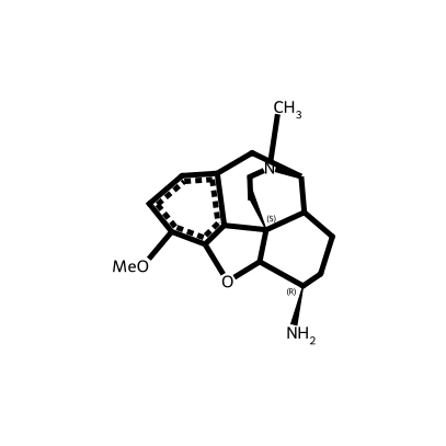 COc1ccc2c3c1OC1[C@H](N)CCC4C(C2)N(C)CC[C@@]341